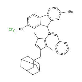 CC1=[C](/[Zr+2](=[CH]\c2ccccc2)[CH]2c3cc(C(C)(C)C)ccc3-c3ccc(C(C)(C)C)cc32)C(C)C=C1CC12CC3CC(CC(C3)C1)C2.[Cl-].[Cl-]